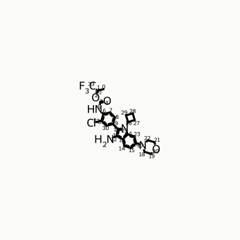 C[C@@H](OC(=O)Nc1ccc(-c2c(N)c3ccc(N4CCOCC4)cc3n2C2CCC2)cc1Cl)C(F)(F)F